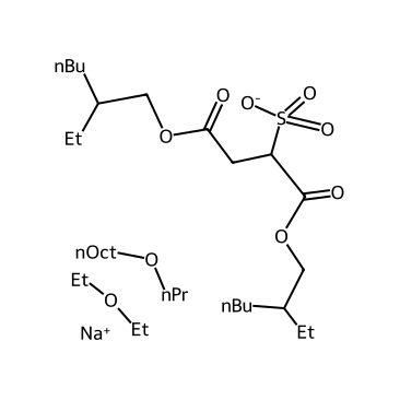 CCCCC(CC)COC(=O)CC(C(=O)OCC(CC)CCCC)S(=O)(=O)[O-].CCCCCCCCOCCC.CCOCC.[Na+]